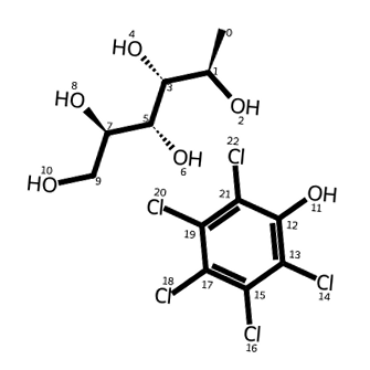 C[C@@H](O)[C@@H](O)[C@H](O)[C@H](O)CO.Oc1c(Cl)c(Cl)c(Cl)c(Cl)c1Cl